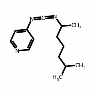 CC(C)CCCC(C)N=C=Nc1ccncc1